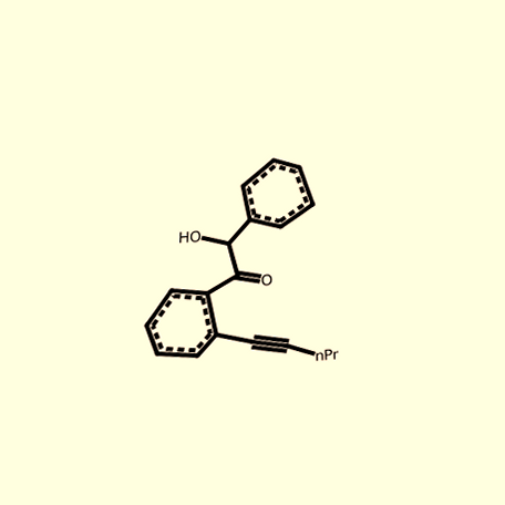 CCCC#Cc1ccccc1C(=O)C(O)c1ccccc1